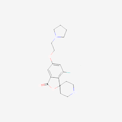 Cl.Cl.O=C1OC2(CCNCC2)c2c(F)cc(OCCN3CCCC3)cc21